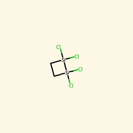 Cl[Si]1(Cl)CC[Si]1(Cl)Cl